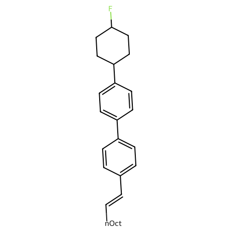 CCCCCCCC/C=C/c1ccc(-c2ccc(C3CCC(F)CC3)cc2)cc1